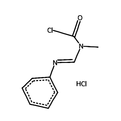 CN(C=Nc1ccccc1)C(=O)Cl.Cl